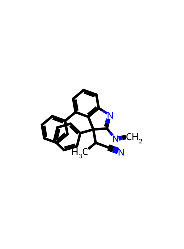 C=NC1=Nc2cccc(-c3ccccc3)c2C1(c1ccccc1)C(C)C#N